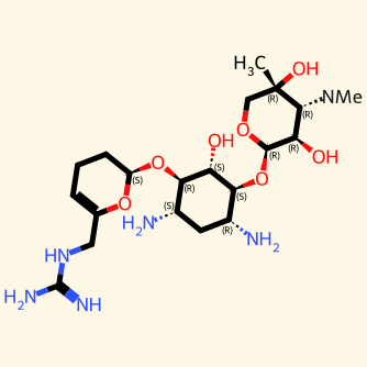 CN[C@@H]1[C@@H](O)[C@@H](O[C@@H]2[C@@H](O)[C@H](O[C@@H]3CCC=C(CNC(=N)N)O3)[C@@H](N)C[C@H]2N)OC[C@]1(C)O